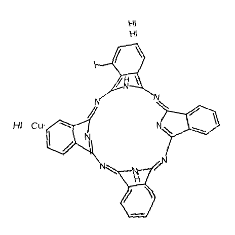 I.I.I.Ic1cccc2c3nc4nc(nc5[nH]c(nc6nc(nc([nH]3)c12)-c1ccccc1-6)c1ccccc51)-c1ccccc1-4.[Cu]